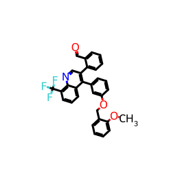 COc1ccccc1COc1cccc(-c2c(-c3ccccc3C=O)cnc3c(C(F)(F)F)cccc23)c1